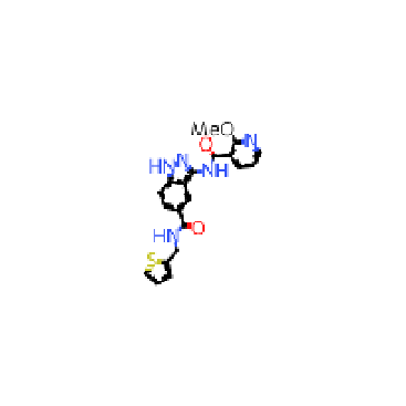 COc1ncccc1C(=O)Nc1n[nH]c2ccc(C(=O)NCc3cccs3)cc12